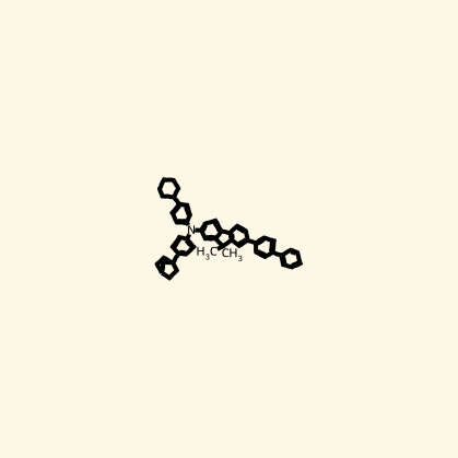 CC1(C)c2cc(-c3ccc(-c4ccccc4)cc3)ccc2-c2ccc(N(c3ccc(C4CCCCC4)cc3)c3ccc(C45CCC(CC4)C5)cc3)cc21